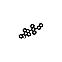 c1ccc2cc(-c3c4ccccc4c(-c4cc5cccc6c7c8ccccc8oc7c7cccc4c7c56)c4ccccc34)ccc2c1